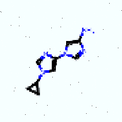 Nc1cn(-c2cn(C3CC3)cn2)cn1